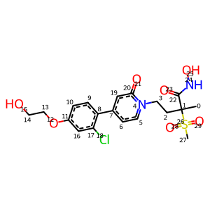 CC(CCn1ccc(-c2ccc(OCCO)cc2Cl)cc1=O)(C(=O)NO)S(C)(=O)=O